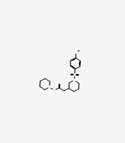 O=C(CC1CCCN(S(=O)(=O)c2ccc(OC(F)(F)F)cc2)C1)NN1CCCCC1